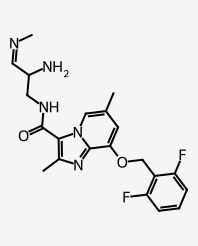 C/N=C\C(N)CNC(=O)c1c(C)nc2c(OCc3c(F)cccc3F)cc(C)cn12